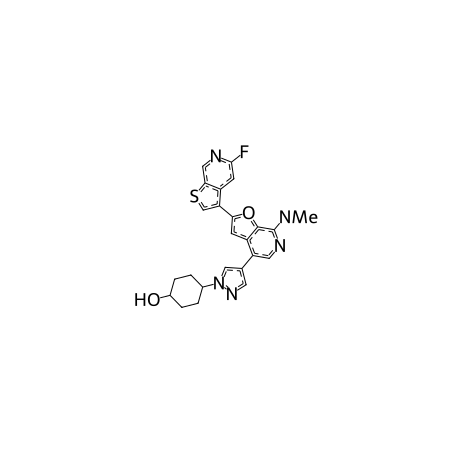 CNc1ncc(-c2cnn(C3CCC(O)CC3)c2)c2cc(-c3csc4cnc(F)cc34)oc12